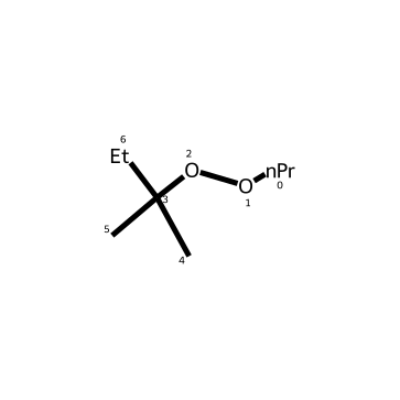 CCCOOC(C)(C)CC